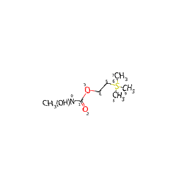 CN(O)C(=O)OCCS(C)(C)C